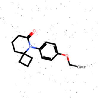 COCOc1ccc(N2C(=O)CCCC23CCC3)cc1